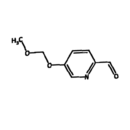 COCOc1ccc(C=O)nc1